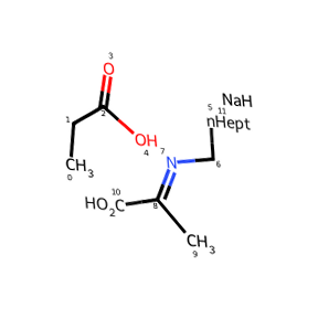 CCC(=O)O.CCCCCCCCN=C(C)C(=O)O.[NaH]